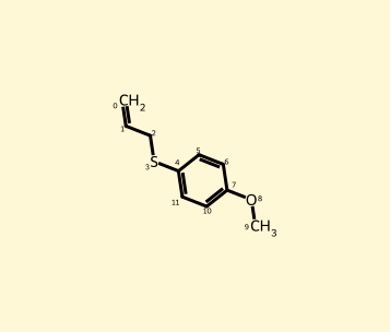 C=CCSc1ccc(OC)cc1